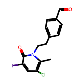 Cc1c(Cl)cc(I)c(=O)n1CCc1ccc(C=O)cc1